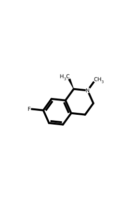 C[C@@H]1c2cc(F)ccc2CCN1C